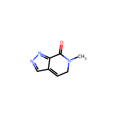 CN1CC=C2C=NN=C2C1=O